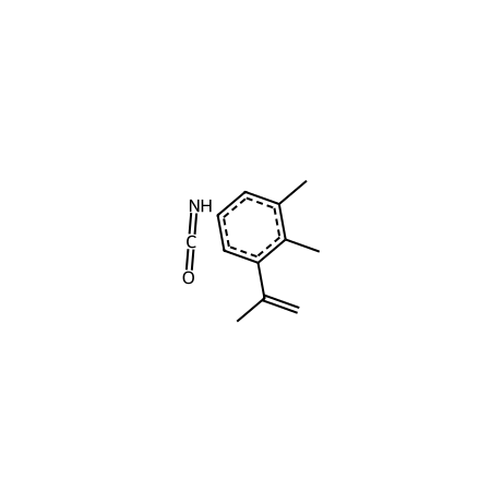 C=C(C)c1cccc(C)c1C.N=C=O